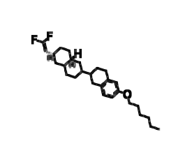 CCCCCCOc1ccc2c(c1)CCC(C1CCC3C[C@H](C=C(F)F)CC[C@@H]3C1)C2